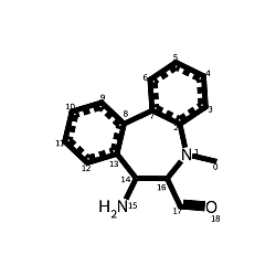 CN1c2ccccc2-c2ccccc2C(N)C1C=O